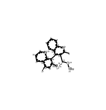 Cc1nc2ccccc2c(-c2c(F)cc(C)c3cccnc23)c1[C@H](OC(C)(C)C)C(=O)O